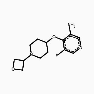 Nc1cncc(F)c1OC1CCN(C2COC2)CC1